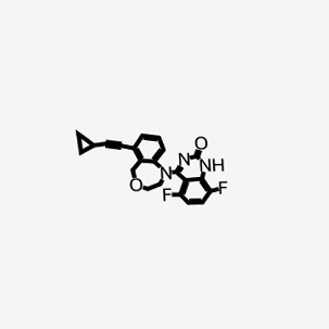 O=c1nc(N2CCOCc3c(C#CC4CC4)cccc32)c2c(F)ccc(F)c2[nH]1